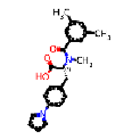 Cc1cc(C)cc(C(=O)N(C)[C@H](Cc2ccc(-n3cccc3)cc2)C(=O)O)c1